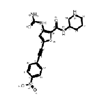 NC(=O)Nc1cc(C#Cc2ccc([N+](=O)[O-])cc2)sc1C(=O)NC1CCCNC1